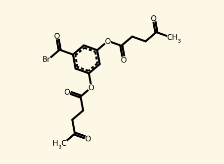 CC(=O)CCC(=O)Oc1cc(OC(=O)CCC(C)=O)cc(C(=O)Br)c1